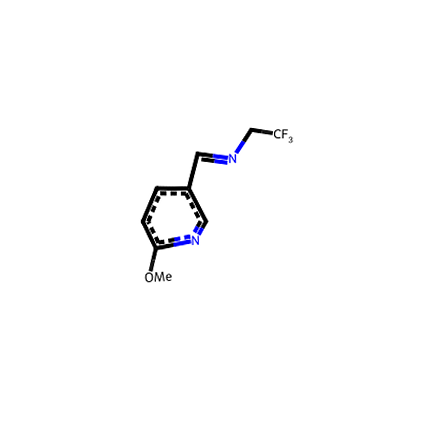 COc1ccc(/C=N/CC(F)(F)F)cn1